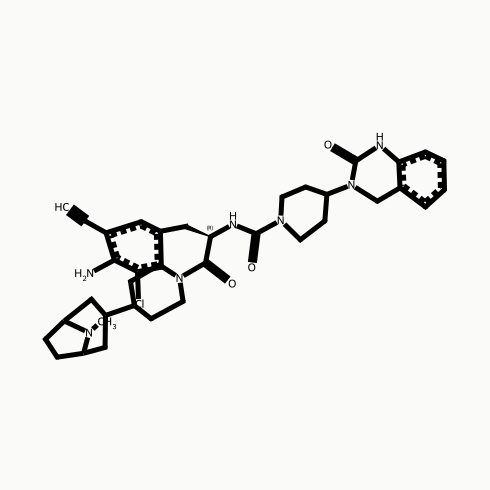 C#Cc1cc(C[C@@H](NC(=O)N2CCC(N3Cc4ccccc4NC3=O)CC2)C(=O)N2CCC(C3CC4CCC(C3)N4C)CC2)cc(Cl)c1N